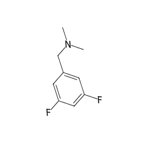 CN(C)Cc1cc(F)cc(F)c1